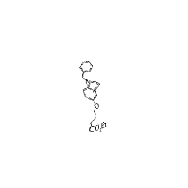 CCOC(=O)CCCOc1ccc2c(ccn2Cc2ccccc2)c1